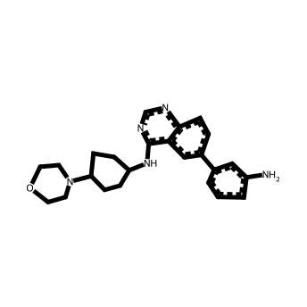 Nc1cccc(-c2ccc3ncnc(NC4CCC(N5CCOCC5)CC4)c3c2)c1